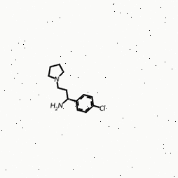 NC(CCN1CCCC1)c1ccc(Cl)cc1